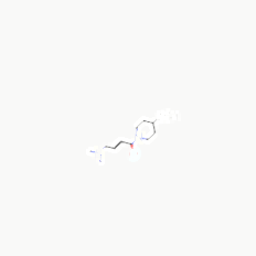 CN(C)C/C=C/C(=O)N1CCC(C(C)(C)C)CC1